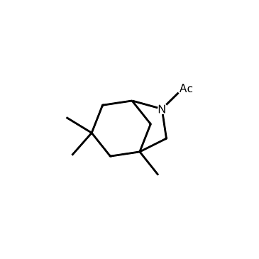 CC(=O)N1CC2(C)CC1CC(C)(C)C2